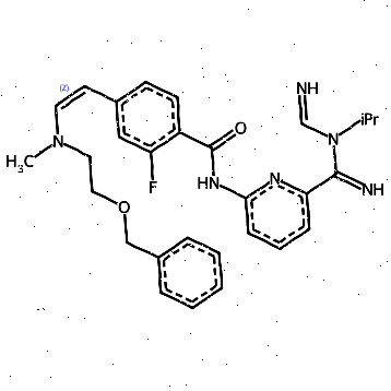 CC(C)N(C=N)C(=N)c1cccc(NC(=O)c2ccc(/C=C\N(C)CCOCc3ccccc3)cc2F)n1